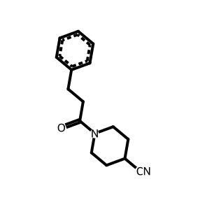 N#CC1CCN(C(=O)CCc2ccccc2)CC1